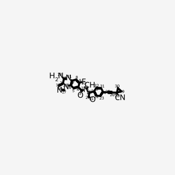 CN(C(=O)c1cc2c(cc1F)nc(N)c1cncn12)[C@@H]1COc2cc(C#CC3(C#N)CC3)ccc21